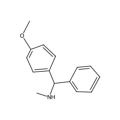 CNC(c1ccccc1)c1ccc(OC)cc1